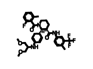 COCC(COC)NC1=CCC([C@H]2[C@@H](C(=O)Nc3ccc(C)c(C(F)(F)F)c3)CCCN2C(=O)c2c(C)cccc2F)C=C1